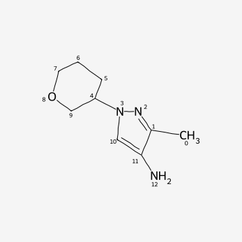 Cc1nn(C2CCCOC2)cc1N